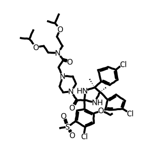 CCOc1cc(Cl)c(S(C)(=O)=O)cc1C1(C(=O)N2CCN(CC(=O)N(CCOC(C)C)CCOC(C)C)CC2)N[C@@](C)(c2ccc(Cl)cc2)[C@@](C)(c2ccc(Cl)cc2)N1